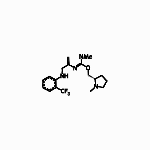 C=C(CNc1ccccc1C(F)(F)F)/N=C(\NC)OC[C@@H]1CCCN1C